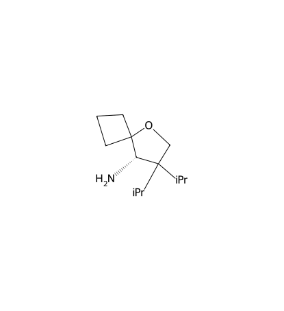 CC(C)C1(C(C)C)COC2(CCC2)[C@H]1N